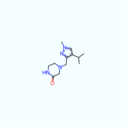 CC(C)c1cn(C)nc1CN1CCNC(=O)C1